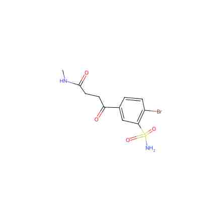 CNC(=O)CCC(=O)c1ccc(Br)c(S(N)(=O)=O)c1